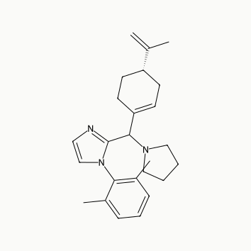 C=C(C)[C@@H]1CC=C(C(c2nccn2-c2c(C)cccc2C)N2CCCC2)CC1